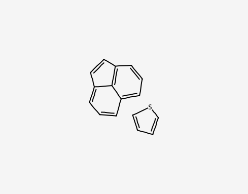 C1=Cc2cccc3cccc1c23.c1ccsc1